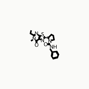 CCc1nc2sc([C@H]3CCCN3C(=O)NCc3ccccc3)nc2c(=O)n1C